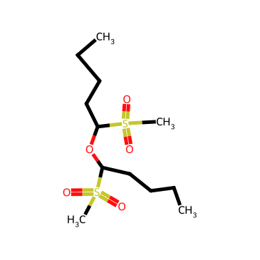 CCCCC(OC(CCCC)S(C)(=O)=O)S(C)(=O)=O